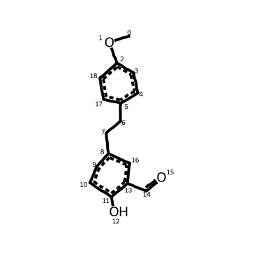 COc1ccc(CCc2ccc(O)c(C=O)c2)cc1